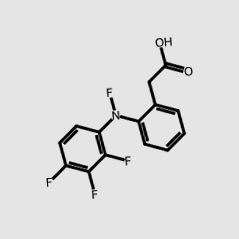 O=C(O)Cc1ccccc1N(F)c1ccc(F)c(F)c1F